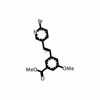 COC(=O)c1cc(/C=C/c2ccc(Br)nc2)cc(OC)c1